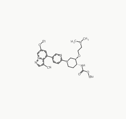 CCOc1cc(-c2ccc(N3CC[C@@H](NC(=O)OC(C)(C)C)[C@H](OCCN(C)C)C3)nc2)c2c(C#N)cnn2c1